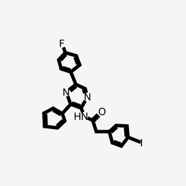 O=C(Cc1ccc(I)cc1)Nc1ncc(-c2ccc(F)cc2)nc1-c1ccccc1